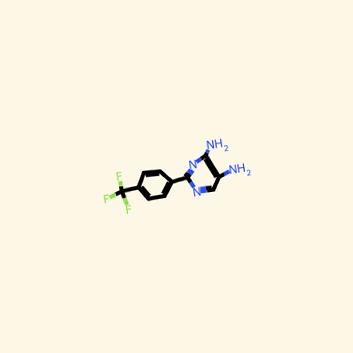 Nc1cnc(-c2ccc(C(F)(F)F)cc2)nc1N